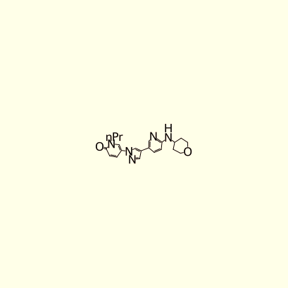 CCCn1cc(-n2cc(-c3ccc(NC4CCOCC4)nc3)cn2)ccc1=O